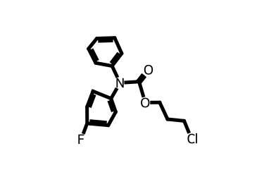 O=C(OCCCCl)N(c1ccccc1)c1ccc(F)cc1